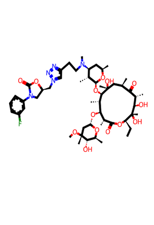 CC[C@H]1OC(=O)[C@H](C)[C@@H](O[C@H]2C[C@@](C)(OC)[C@@H](O)[C@H](C)O2)[C@H](C)[C@@H](O[C@@H]2O[C@H](C)C[C@H](N(C)CCc3cn(C[C@H]4CN(c5cccc(F)c5)C(=O)O4)nn3)[C@H]2C)[C@](C)(O)C[C@@H](C)C(=O)[C@H](C)[C@@H](O)[C@]1(C)O